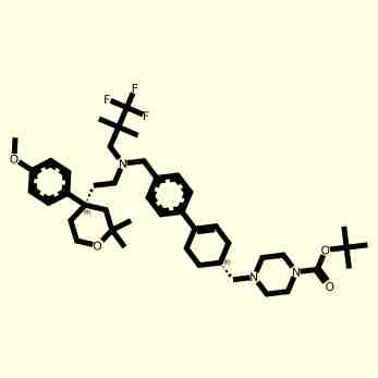 COc1ccc([C@]2(CCN(Cc3ccc(C4=CC[C@H](CN5CCN(C(=O)OC(C)(C)C)CC5)CC4)cc3)CC(C)(C)C(F)(F)F)CCOC(C)(C)C2)cc1